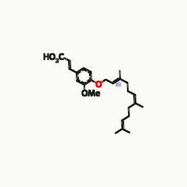 COc1cc(C=CC(=O)O)ccc1OC/C=C(\C)CCC=C(C)CCC=C(C)C